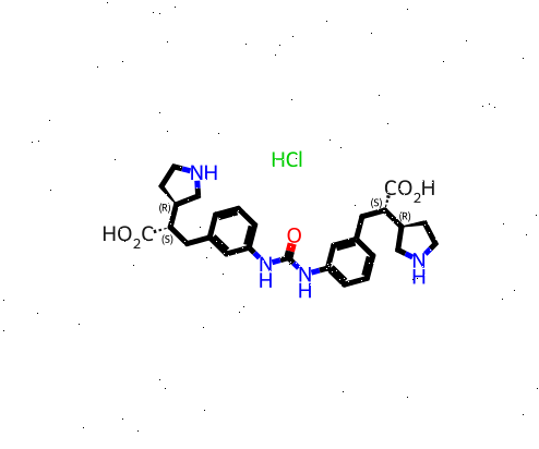 Cl.O=C(Nc1cccc(C[C@H](C(=O)O)[C@H]2CCNC2)c1)Nc1cccc(C[C@H](C(=O)O)[C@H]2CCNC2)c1